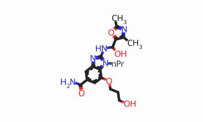 CCCn1c(NC(O)c2oc(C)nc2C)nc2cc(C(N)=O)cc(OCCCO)c21